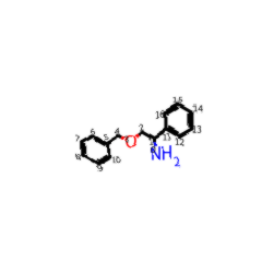 NC(COCc1ccccc1)c1ccccc1